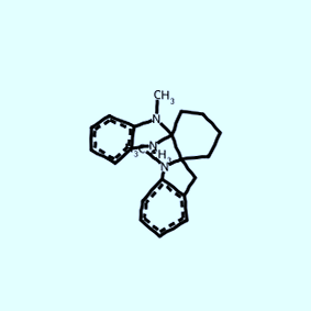 CN1c2ccccc2CC12CCCCC21N(C)c2ccccc2N1C